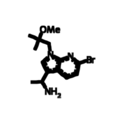 COC(C)(C)Cn1cc(C(C)N)c2ccc(Br)nc21